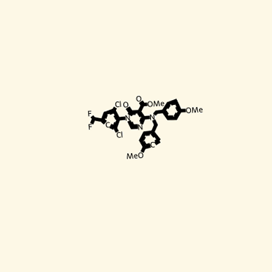 COC(=O)c1c(N(Cc2ccc(OC)cc2)Cc2ccc(OC)cc2)ncn(-c2c(Cl)cc(C(F)F)cc2Cl)c1=O